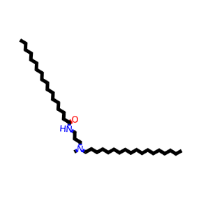 CCCCCCCCCCCCCCCCCCN(C)CCCNC(=O)CCCCCCCCCCCCCCCCC